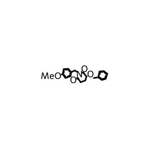 COc1ccc(CN2C(=O)CC[C@H](OCc3ccccc3)C2=O)cc1